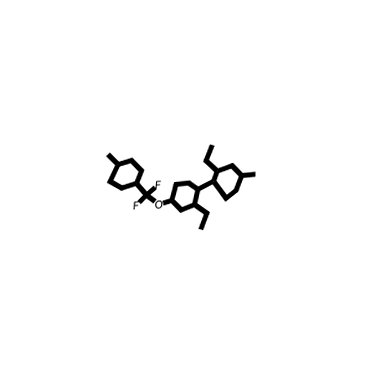 CCC1CC(C)CCC1C1CCC(OC(F)(F)C2CCC(C)CC2)CC1CC